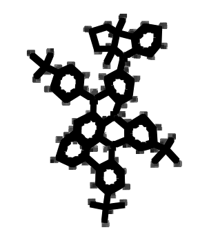 Cc1cc2c3c(c1)N(c1ccc(C(C)(C)C)cc1-c1ccccc1)c1cc(C(C)(C)C)ccc1B3c1ccc(N3c4ccccc4C4(C)CCCC34C)cc1N2c1ccc(C(C)(C)C)cc1